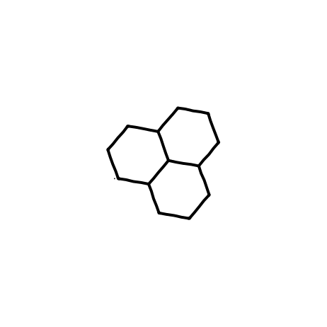 [CH]1CCC2CCCC3CCCC1C23